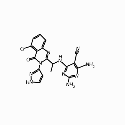 CC(Nc1nc(N)nc(N)c1C#N)c1nc2cccc(Cl)c2c(=O)n1-c1cc[nH]n1